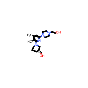 N#Cc1c(C(F)(F)F)cc(N2CCN(CCO)CC2)nc1N1CCC[C@H](CO)C1